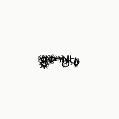 O=C(/C=C/c1cccnc1)NCCC1C2CN(c3ccnc4ccccc34)CC12